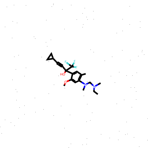 CCN(C)CN(C)c1cc(OC)c(C(O)(C#CC2CC2)C(F)(F)F)cc1C